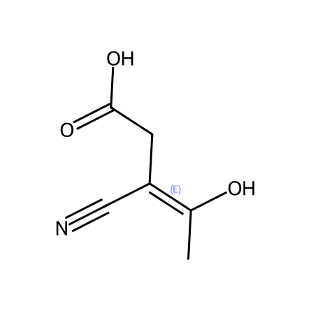 C/C(O)=C(\C#N)CC(=O)O